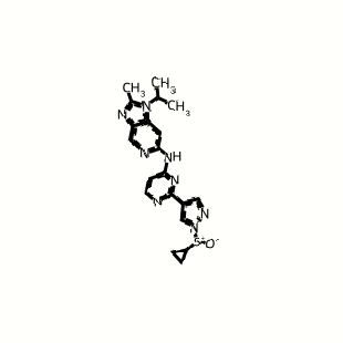 Cc1nc2cnc(Nc3ccnc(-c4cnn([S+]([O-])C5CC5)c4)n3)cc2n1C(C)C